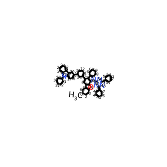 CC1C=Cc2oc3c(cc(C4=CC=CC(c5ccc6c(c5)c5ccccc5n6-c5ccccc5)C4)c4c5c(n(-c6nc(-c7ccccc7)nc(-c7ccccc7)n6)c43)CCC=C5)c2C1